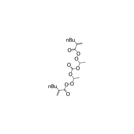 C=C(CCCC)C(=O)OOC(C)OC(=O)OC(C)OOC(=O)C(=C)CCCC